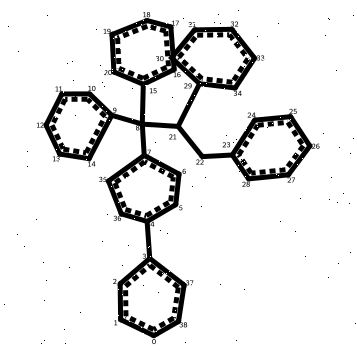 [c]1ccc(-c2ccc(C(c3ccccc3)(c3ccccc3)C(Cc3ccccc3)c3ccccc3)cc2)cc1